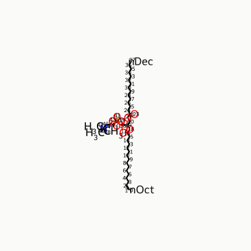 CCCCCCCC/C=C\CCCCCCCCCCCCCC(=O)OC(COC(=O)CCCCCCCCCCCCCCCCCCCCCCC)COP(=O)(O)OCC[N+](C)(C)C